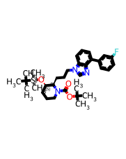 CC(C)(C)OC(=O)N1CCC[C@H](O[Si](C)(C)C(C)(C)C)[C@H]1CCCn1cnc2c(-c3cccc(F)c3)cccc21